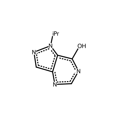 CC(C)n1ncc2ncnc(O)c21